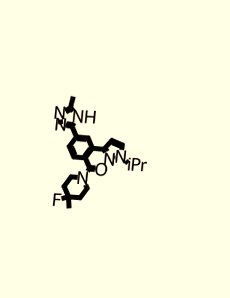 Cc1nnc(-c2ccc(C(=O)N3CCC(C)(F)CC3)c(-c3ccn(C(C)C)n3)c2)[nH]1